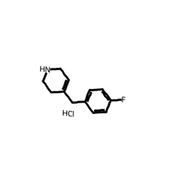 Cl.Fc1ccc(CC2=CCNCC2)cc1